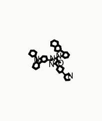 c1ccc(-n2c3ccccc3c3cc(-c4nc(-n5c6ccccc6c6cc7ccccc7cc65)c5oc6cc(-c7cccnc7)ccc6c5n4)ccc32)cc1